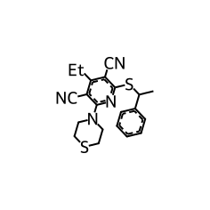 CCc1c(C#N)c(SC(C)c2ccccc2)nc(N2CCSCC2)c1C#N